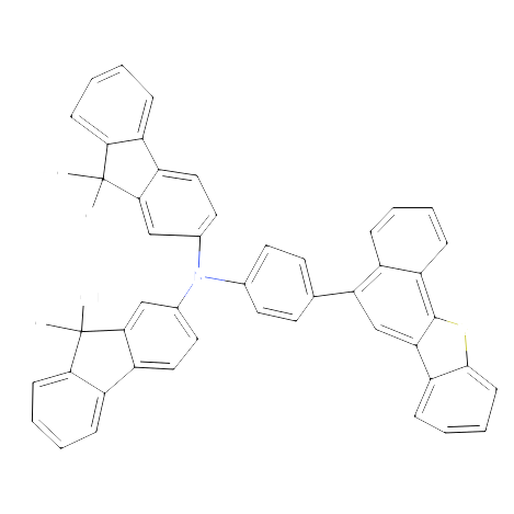 CC1(C)c2ccccc2-c2ccc(N(c3ccc(-c4cc5c6ccccc6sc5c5ccccc45)cc3)c3ccc4c(c3)C(C)(C)c3ccccc3-4)cc21